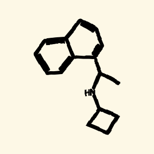 CC(NC1CCC1)c1cccc2ccccc12